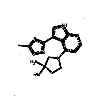 CCCCC1(N)CCN(c2ccnc3[nH]cc(-c4ncc(C)s4)c23)C1